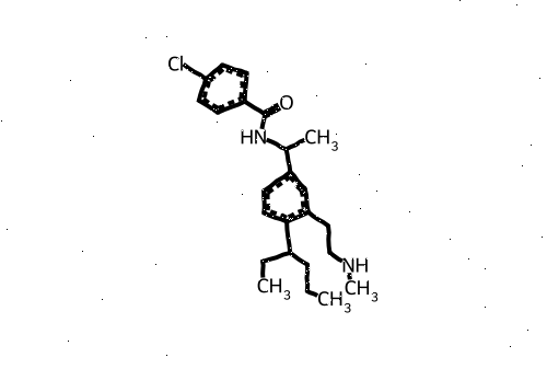 CCCC(CC)c1ccc(C(C)NC(=O)c2ccc(Cl)cc2)cc1CCNC